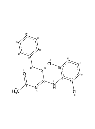 CC(=O)/N=C(/Nc1c(Cl)cccc1Cl)SCc1ccccc1